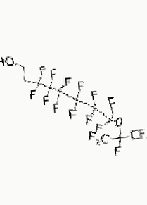 OCCC(F)(F)C(F)(F)C(F)(F)C(F)(F)C(F)(F)C(F)(F)OC(F)(C(F)(F)F)C(F)(F)F